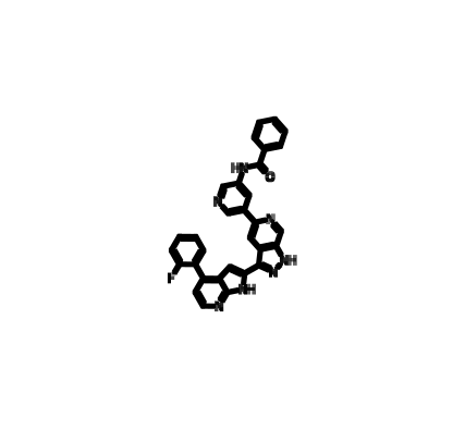 O=C(Nc1cncc(-c2cc3c(-c4cc5c(-c6ccccc6F)ccnc5[nH]4)n[nH]c3cn2)c1)c1ccccc1